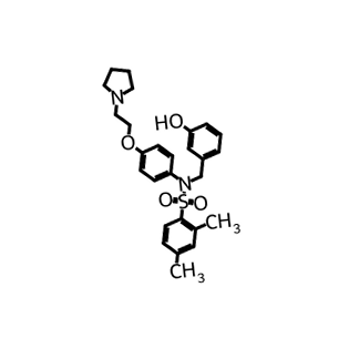 Cc1ccc(S(=O)(=O)N(Cc2cccc(O)c2)c2ccc(OCCN3CCCC3)cc2)c(C)c1